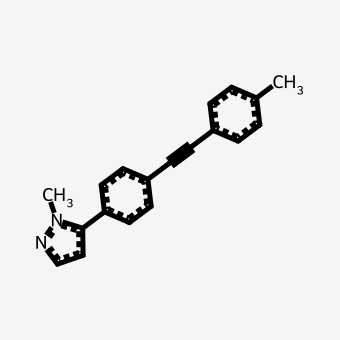 Cc1ccc(C#Cc2ccc(-c3ccnn3C)cc2)cc1